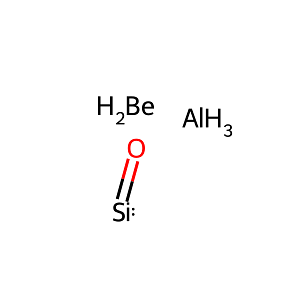 O=[Si].[AlH3].[BeH2]